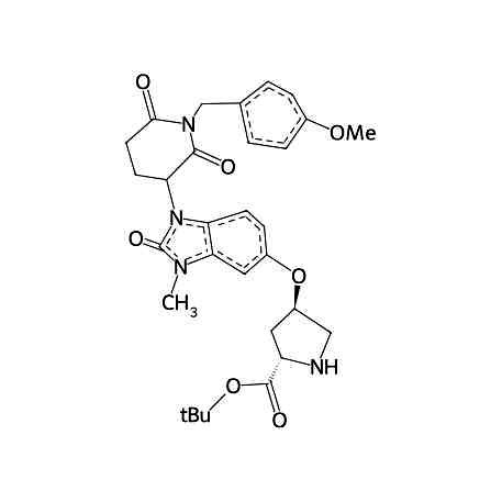 COc1ccc(CN2C(=O)CCC(n3c(=O)n(C)c4cc(O[C@H]5CN[C@H](C(=O)OC(C)(C)C)C5)ccc43)C2=O)cc1